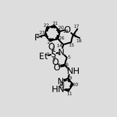 CCS(=O)(=O)N(CC(=O)Nc1cc[nH]n1)C1CC(C)(C)Oc2ccc(F)cc21